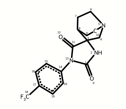 O=C1NC2(CN3CCC2CC3)C(=O)N1c1ccc(C(F)(F)F)cc1